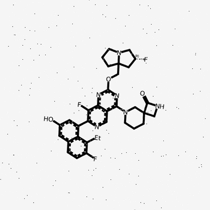 CCc1c(F)ccc2cc(O)cc(-c3ncc4c(N5CCCC6(CNC6=O)C5)nc(OCC56CCCN5C[C@H](F)C6)nc4c3F)c12